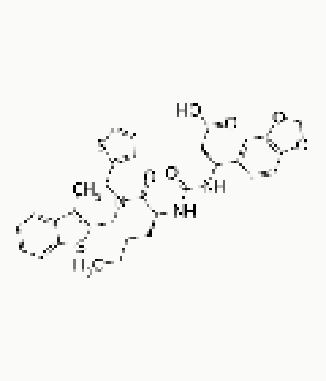 CCCC[C@H](NC(=O)N[C@@H](CC(=O)O)c1ccc2c(c1)OCO2)C(=O)N(Cc1cccs1)Cc1sc2ccccc2c1C